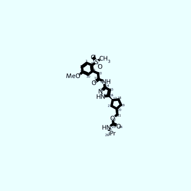 COc1ccc(S(C)(=O)=O)c(CC(=O)Nc2cc([C@H]3CCC(COC(=O)NC(C)C)C3)[nH]n2)c1